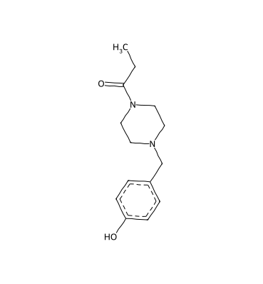 CCC(=O)N1CCN(Cc2ccc(O)cc2)CC1